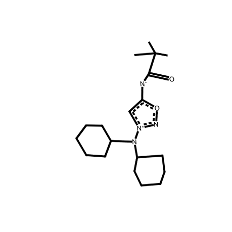 CC(C)(C)C(=O)[N-]c1c[n+](N(C2CCCCC2)C2CCCCC2)no1